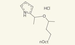 CCCCCCCCCCC(C)OC(C)c1ccc[nH]1.Cl